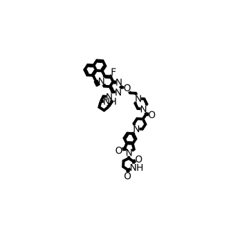 C#Cc1cccc2cccc(-c3ncc4c(N5CC6CCC(C5)N6)nc(OCCN5CCN(C(=O)C6CCN(c7ccc8c(c7)CN(C7CCC(=O)NC7=O)C8=O)CC6)CC5)nc4c3F)c12